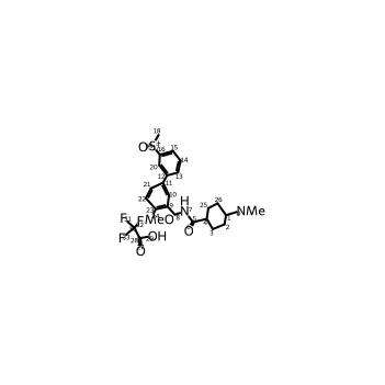 CNC1CCC(C(=O)NCc2cc(-c3cccc([S+](C)[O-])c3)ccc2OC)CC1.O=C(O)C(F)(F)F